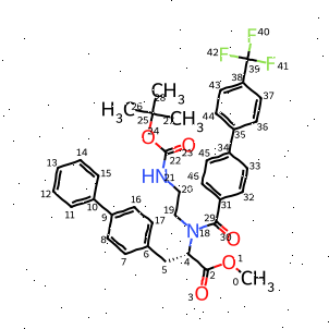 COC(=O)[C@H](Cc1ccc(-c2ccccc2)cc1)N(CCNC(=O)OC(C)(C)C)C(=O)c1ccc(-c2ccc(C(F)(F)F)cc2)cc1